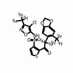 [2H]C([2H])([2H])c1cc2c(cc1C([2H])([2H])C(=O)c1sccc1S(=O)(=O)Nc1onc(C([2H])([2H])[2H])c1Cl)OCO2